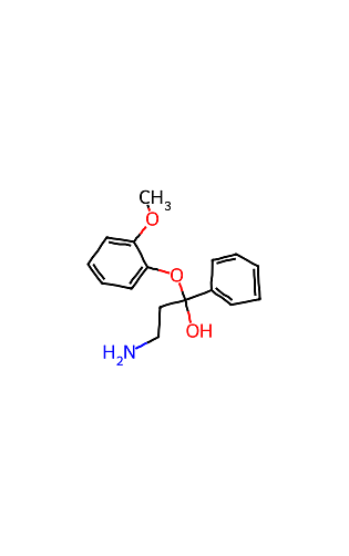 COc1ccccc1OC(O)(CCN)c1ccccc1